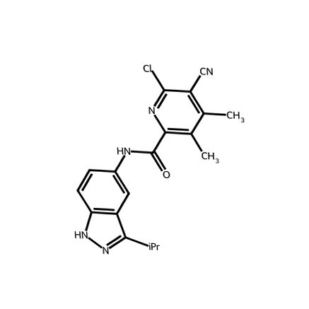 Cc1c(C(=O)Nc2ccc3[nH]nc(C(C)C)c3c2)nc(Cl)c(C#N)c1C